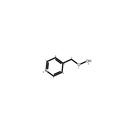 OOCc1ccncc1